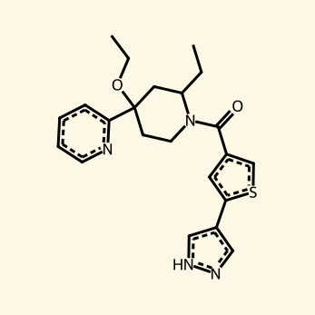 CCOC1(c2ccccn2)CCN(C(=O)c2csc(-c3cn[nH]c3)c2)C(CC)C1